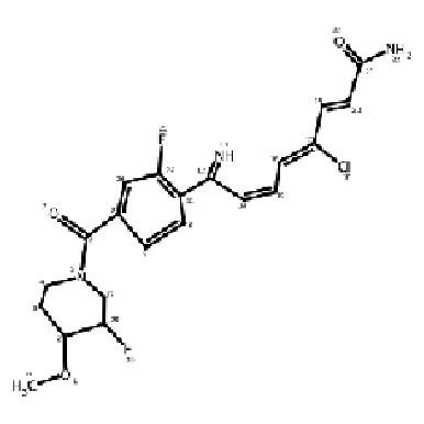 COC1CCN(C(=O)c2ccc(C(=N)\C=C/C=C(Cl)/C=C/C(N)=O)c(F)c2)CC1F